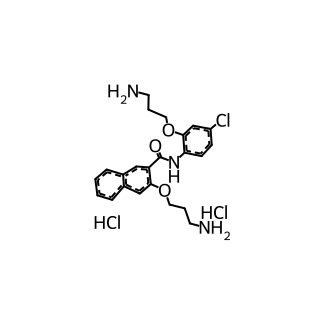 Cl.Cl.NCCCOc1cc(Cl)ccc1NC(=O)c1cc2ccccc2cc1OCCCN